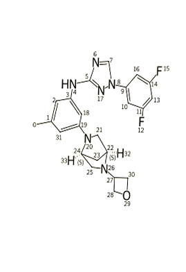 Cc1cc(Nc2ncn(-c3cc(F)cc(F)c3)n2)cc(N2C[C@@H]3C[C@H]2CN3C2COC2)c1